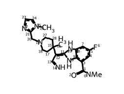 CNC(=O)c1cc(F)cc2c1N/C(=C(\C=N)C1(C)CCN(Cc3nccn3C)CC1)N2